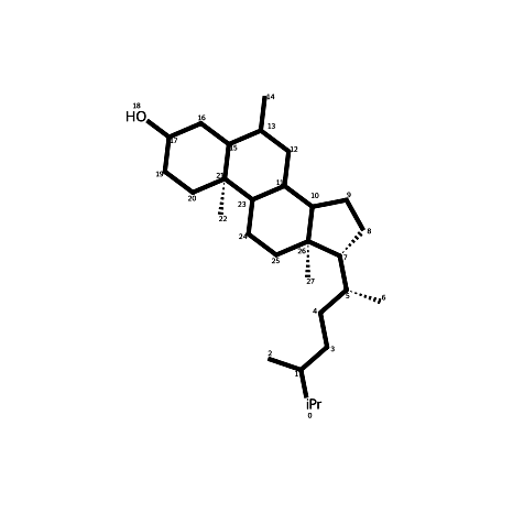 CC(C)C(C)CC[C@@H](C)[C@H]1CCC2C3CC(C)C4CC(O)CC[C@]4(C)C3CC[C@@]21C